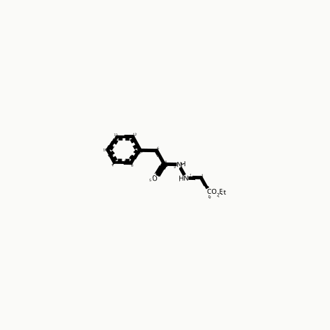 CCOC(=O)CNNC(=O)Cc1ccccc1